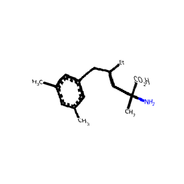 CCC(Cc1cc(C)cc(C)c1)CC(C)(N)C(=O)O